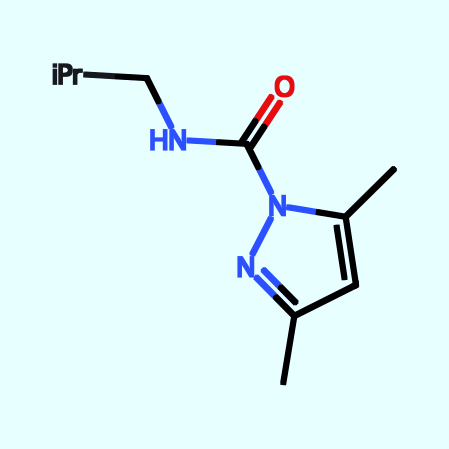 Cc1cc(C)n(C(=O)NCC(C)C)n1